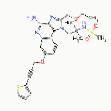 CCOCc1nc2c(N)nc3cc(OCC#Cc4cccs4)ccc3c2n1CC(C)(C)NS(C)(=O)=O